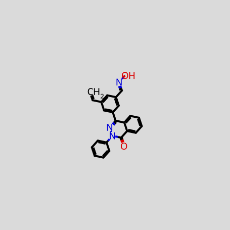 C=Cc1cc(/C=N/O)cc(-c2nn(-c3ccccc3)c(=O)c3ccccc23)c1